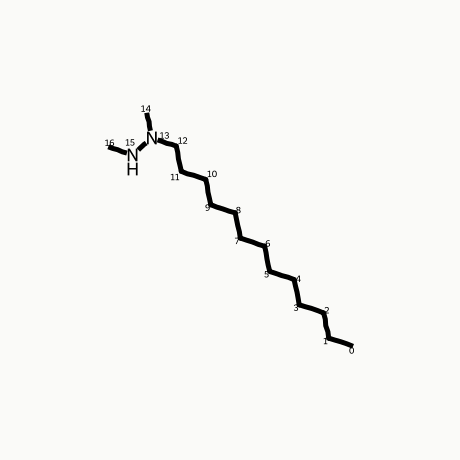 CCCCCCCCCCCCCN(C)NC